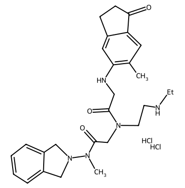 CCNCCN(CC(=O)N(C)N1Cc2ccccc2C1)C(=O)CNc1cc2c(cc1C)C(=O)CC2.Cl.Cl